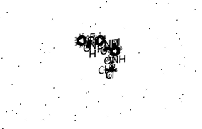 O=C(Nc1ccc(F)c(NS(=O)(=O)c2ccccc2)c1F)c1cc(NC(=O)[C@H]2CC2(Cl)Cl)ccc1Cl